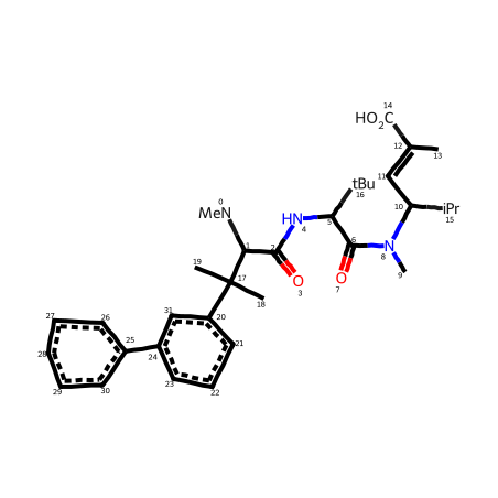 CNC(C(=O)NC(C(=O)N(C)C(/C=C(\C)C(=O)O)C(C)C)C(C)(C)C)C(C)(C)c1cccc(-c2ccccc2)c1